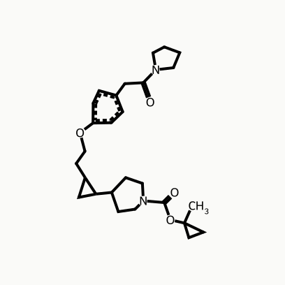 CC1(OC(=O)N2CCC(C3CC3CCOc3ccc(CC(=O)N4CCCC4)cc3)CC2)CC1